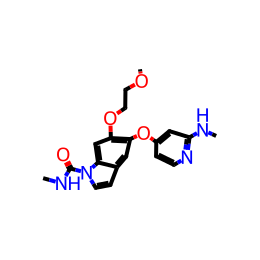 CNC(=O)n1ccc2cc(Oc3ccnc(NC)c3)c(OCCOC)cc21